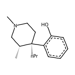 CCC[C@@]1(c2ccccc2O)CCN(C)C[C@H]1C